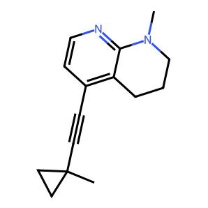 CN1CCCc2c(C#CC3(C)CC3)ccnc21